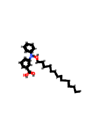 CCCCCCCCCCCCCCON(c1ccccc1)c1cccc(C(=O)O)c1